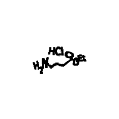 CCOC(=O)CCCN.Cl